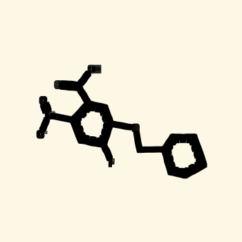 O=C(O)c1cc(OCc2ccccc2)c(F)cc1[N+](=O)[O-]